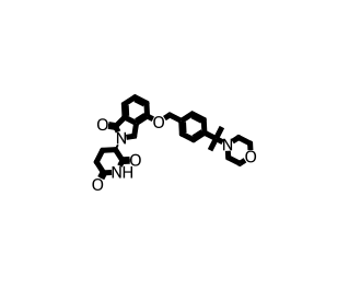 CC(C)(c1ccc(COc2cccc3c2CN([C@H]2CCC(=O)NC2=O)C3=O)cc1)N1CCOCC1